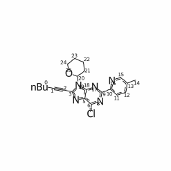 CCCCC#Cc1nc2c(Cl)nc(-c3ccc(C)cn3)nc2n1C1CCCCO1